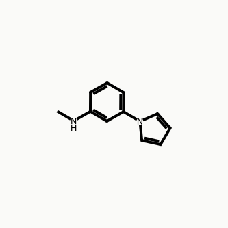 CNc1cccc(-n2cccc2)c1